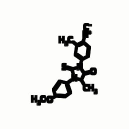 [C-]#[N+]c1ccc(N2C(=O)C(C)N(c3ccc(OC)cc3)C2=S)cc1C